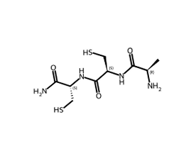 C[C@@H](N)C(=O)N[C@H](CS)C(=O)N[C@H](CS)C(N)=O